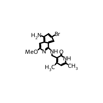 COc1cc2c(N)cc(Br)cc2c(NCc2c(C)cc(C)[nH]c2=O)n1